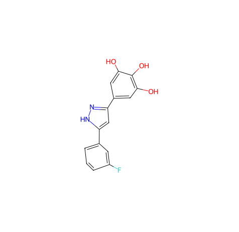 Oc1cc(-c2cc(-c3cccc(F)c3)[nH]n2)cc(O)c1O